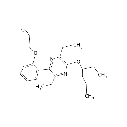 CCCC(CC)Oc1nc(CC)c(-c2ccccc2OCCCl)nc1CC